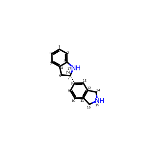 c1ccc2c(c1)C[C@@H](c1ccc3c(c1)CNC3)N2